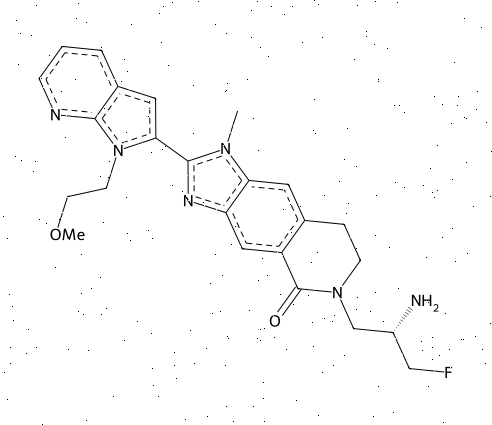 COCCn1c(-c2nc3cc4c(cc3n2C)CCN(C[C@H](N)CF)C4=O)cc2cccnc21